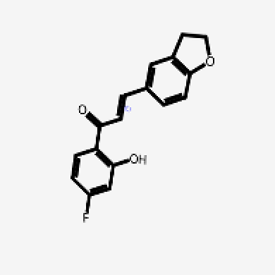 O=C(/C=C/c1ccc2c(c1)CCO2)c1ccc(F)cc1O